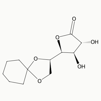 O=C1O[C@H]([C@H]2COC3(CCCCC3)O2)[C@H](O)[C@H]1O